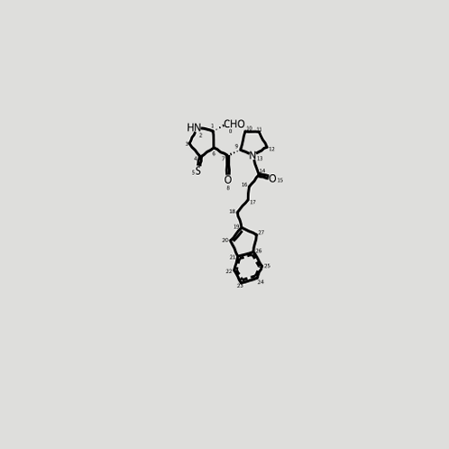 O=C[C@H]1NCC(=S)C1C(=O)[C@@H]1CCCN1C(=O)CCCC1=Cc2ccccc2C1